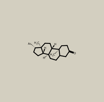 CC(=O)[C@H]1CC[C@H]2[C@@H]3CCC4CC(=O)CC[C@]4(C)[C@H]3CC[C@]12C